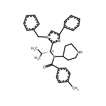 Cc1ccc(C(=O)N(C2CCNCC2)[C@@H](c2nc(-c3ccccc3)cn2Cc2ccccc2)C(C)C)cc1